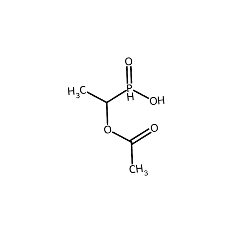 CC(=O)OC(C)[PH](=O)O